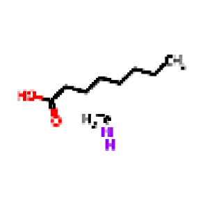 CCCCCCCC(=O)O.I.I.[TeH2]